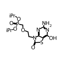 CC(C)OP(=O)(COCCn1c(=O)sc2c(O)nc(N)nc21)OC(C)C